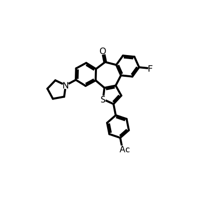 CC(=O)c1ccc(-c2cc3c4cc(F)ccc4c(=O)c4ccc(N5CCCC5)cc4c3s2)cc1